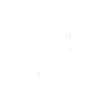 CC/C=C\CF